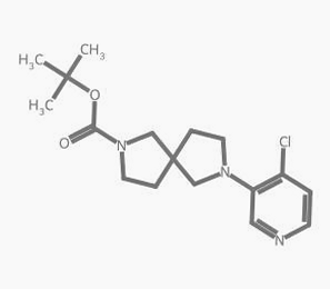 CC(C)(C)OC(=O)N1CCC2(CCN(c3cnccc3Cl)C2)C1